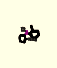 CCCCc1ccccc1P(CC)c1ccccc1C